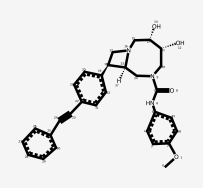 COc1ccc(NC(=O)N2C[C@@H](O)[C@@H](O)CN3C[C@H](c4ccc(C#Cc5ccccc5)cc4)[C@@H]3C2)cc1